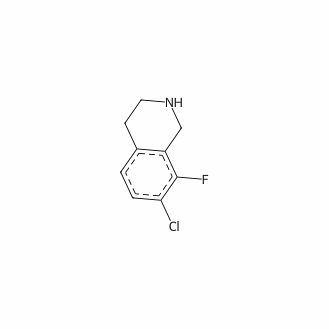 Fc1c(Cl)ccc2c1CNCC2